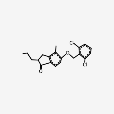 CCCC1Cc2c(ccc(OCc3c(Cl)cccc3Cl)c2C)C1=O